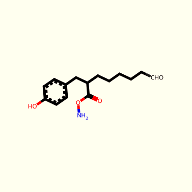 NOC(=O)C(CCCCCC=O)Cc1ccc(O)cc1